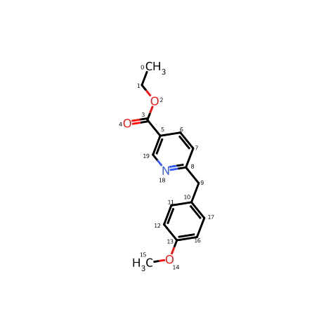 CCOC(=O)c1ccc(Cc2ccc(OC)cc2)nc1